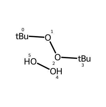 CC(C)(C)OOC(C)(C)C.OO